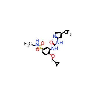 O=C(Nc1cc(C(F)(F)F)ccn1)Nc1cc(S(=O)(=O)NCC(F)(F)F)ccc1OCC1CC1